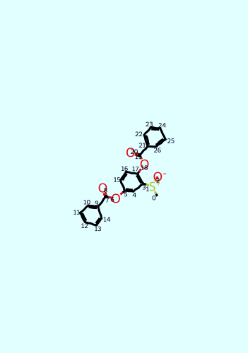 C[S+]([O-])c1cc(OC(=O)c2ccccc2)ccc1OC(=O)c1ccccc1